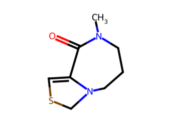 CN1CCCN2CSC=C2C1=O